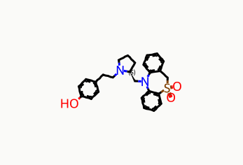 O=S1(=O)Cc2ccccc2N(C[C@@H]2CCCN2CCc2ccc(O)cc2)c2ccccc21